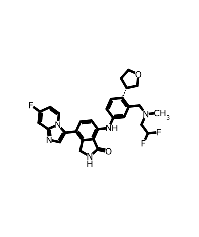 CN(Cc1cc(Nc2ccc(-c3cnc4cc(F)ccn34)c3c2C(=O)NC3)ccc1[C@@H]1CCOC1)CC(F)F